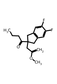 C=C(CC1(C(=O)CCC)Cc2cc(F)c(F)cc2C1)OC